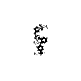 CN(c1ccc(C(F)(F)P)cc1)c1ccccc1-c1nnn(CC2CCN(S(C)(=O)=O)C2)n1